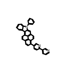 c1ccc(-n2c3ccccc3c3c4ccc5ccc(-c6ccc(-c7cccnc7)nc6)c6ccc(cc32)c4c56)cc1